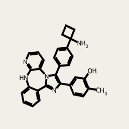 Cc1ccc(-c2nc3n(c2-c2ccc(C4(N)CCC4)cc2)-c2cccnc2Nc2ccccc2-3)cc1O